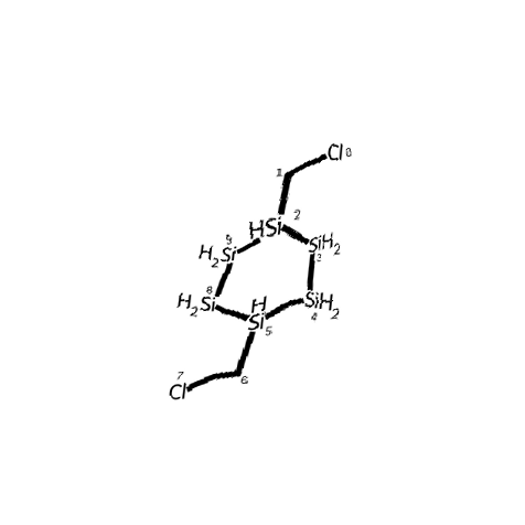 ClC[SiH]1[SiH2][SiH2][SiH](CCl)[SiH2][SiH2]1